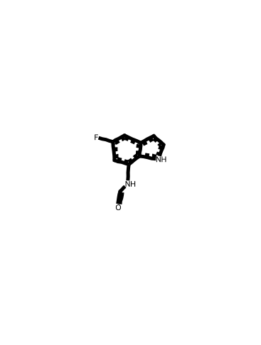 O=CNc1cc(F)cc2cc[nH]c12